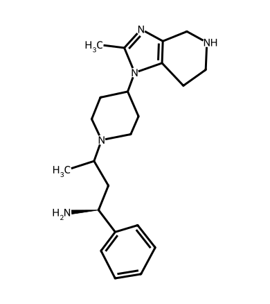 Cc1nc2c(n1C1CCN(C(C)C[C@H](N)c3ccccc3)CC1)CCNC2